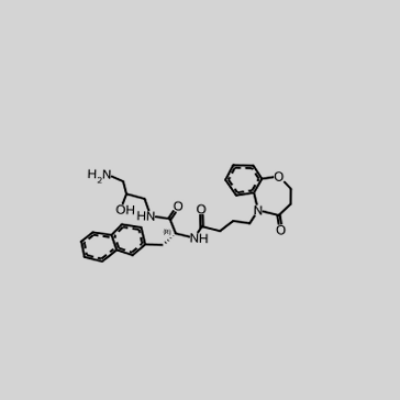 NCC(O)CNC(=O)[C@@H](Cc1ccc2ccccc2c1)NC(=O)CCCN1C(=O)CCOc2ccccc21